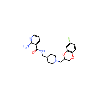 Nc1ncccc1C(=O)NCC1CCN(CC2COc3ccc(F)cc3O2)CC1